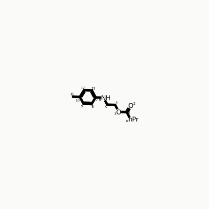 CCCC(=O)OCCNc1ccc(C)cc1